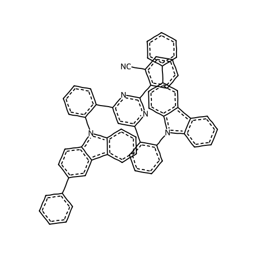 N#Cc1ccccc1-c1nc(-c2ccccc2-n2c3ccccc3c3cc(-c4ccccc4)ccc32)cc(-c2ccccc2-n2c3ccccc3c3cc(-c4ccccc4)ccc32)n1